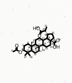 CC(=O)O[C@@H]1CC[C@@]2(C)C(CC[C@]3(C)C2CCC2C4[C@H](C(C)C(=O)O)CC[C@]4(C(=O)O)CC[C@]23C)C1(C)C